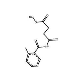 C=C(CCC(=O)OC(C)(C)C)NC(=O)c1cnccc1C